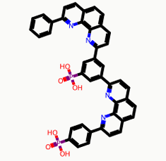 O=P(O)(O)c1ccc(-c2ccc3ccc4ccc(-c5cc(-c6ccc7ccc8ccc(-c9ccccc9)nc8c7n6)cc(P(=O)(O)O)c5)nc4c3n2)cc1